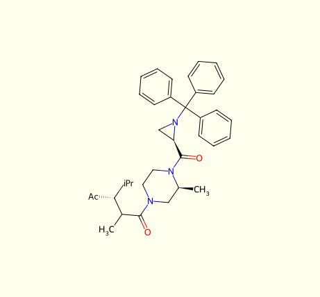 CC(=O)[C@H](C(C)C)C(C)C(=O)N1CCN(C(=O)[C@H]2CN2C(c2ccccc2)(c2ccccc2)c2ccccc2)[C@@H](C)C1